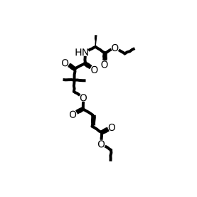 CCOC(=O)/C=C/C(=O)OCC(C)(C)C(=O)C(=O)N[C@@H](C)C(=O)OCC